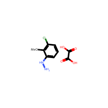 COc1c(Cl)cccc1NN.O=C(O)C(=O)O